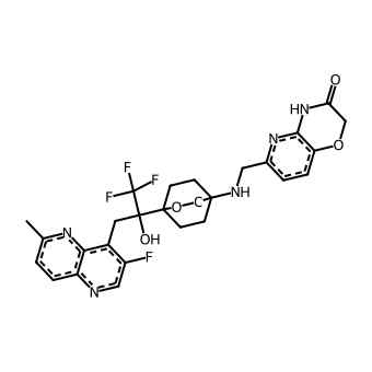 Cc1ccc2ncc(F)c(CC(O)(C(F)(F)F)C34CCC(NCc5ccc6c(n5)NC(=O)CO6)(CC3)CO4)c2n1